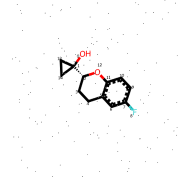 OC1([C@H]2CCc3cc(F)ccc3O2)CC1